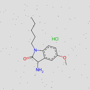 CCCCCN1C(=O)C(N)c2cc(OC)ccc21.Cl